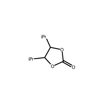 CC(C)C1OC(=O)OC1C(C)C